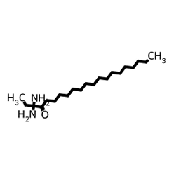 CCCCCCCCCCCCCCCCCC(=O)C(N)(N)CC